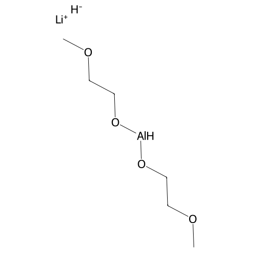 COCC[O][AlH][O]CCOC.[H-].[Li+]